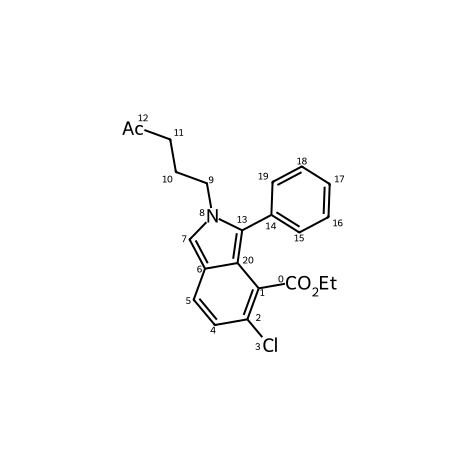 CCOC(=O)c1c(Cl)ccc2cn(CCCC(C)=O)c(-c3ccccc3)c12